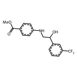 COC(=O)c1ccc(NCC(O)c2cccc(C(F)(F)F)c2)cc1